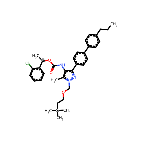 CCCc1ccc(-c2ccc(-c3nn(COCC[Si](C)(C)C)c(C)c3NC(=O)O[C@H](C)c3ccccc3Cl)cc2)cc1